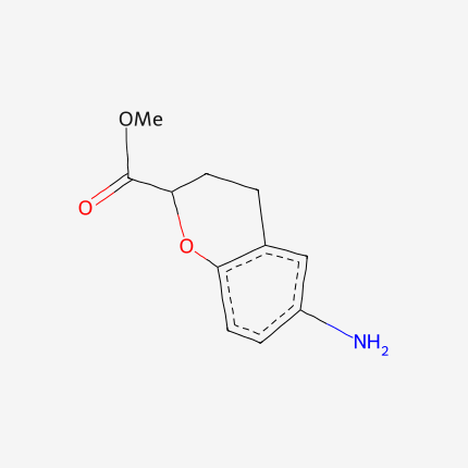 COC(=O)C1CCc2cc(N)ccc2O1